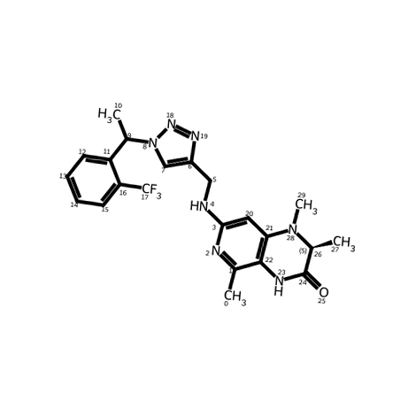 Cc1nc(NCc2cn(C(C)c3ccccc3C(F)(F)F)nn2)cc2c1NC(=O)[C@H](C)N2C